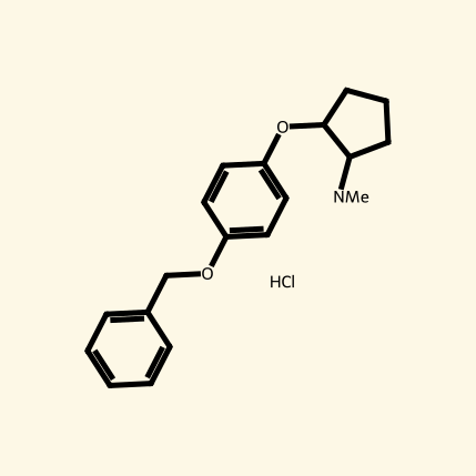 CNC1CCCC1Oc1ccc(OCc2ccccc2)cc1.Cl